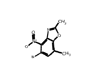 Cc1nc2c([N+](=O)[O-])c(Br)cc(C)c2o1